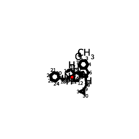 COc1ccc2c(c1)[C@@]13[C@H]4[C@H]5CC[C@@]1(O[C@@H]4CN5Cc1ccccc1)[C@@H](C2)N(CC1CC1)C[C@H]3O